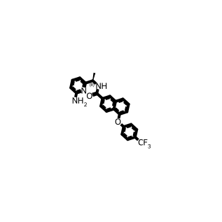 C[C@@H](NC(=O)c1ccc2c(Oc3ccc(C(F)(F)F)cc3)cccc2c1)c1cccc(N)n1